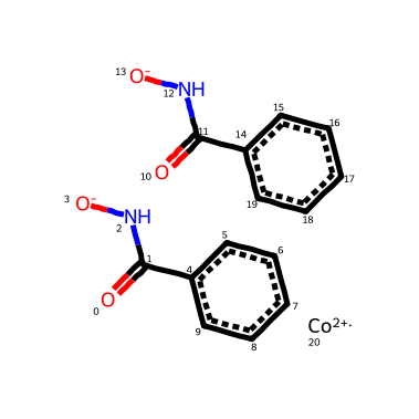 O=C(N[O-])c1ccccc1.O=C(N[O-])c1ccccc1.[Co+2]